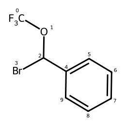 FC(F)(F)OC(Br)c1ccccc1